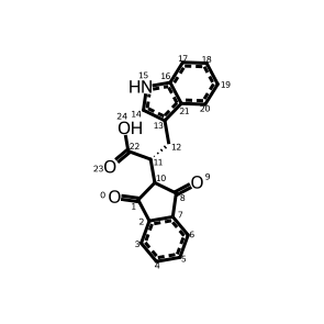 O=C1c2ccccc2C(=O)C1[C@@H](Cc1c[nH]c2ccccc12)C(=O)O